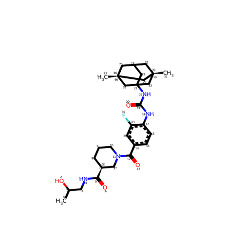 CC(O)CNC(=O)[C@H]1CCCN(C(=O)c2ccc(NC(=O)NC34CC5C[C@@](C)(C3)C[C@](C)(C5)C4)c(F)c2)C1